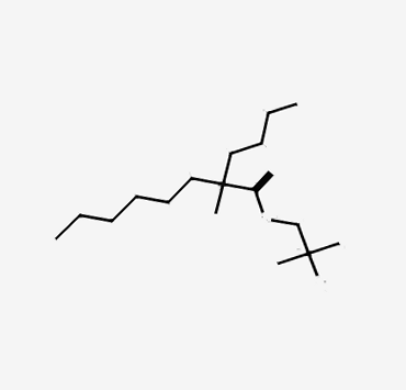 CCCCCCC(C)(CCCC)C(=O)NCC(C)(C)O